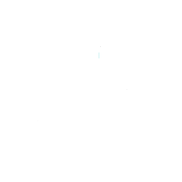 Cc1cc(F)c2ccccc2c1